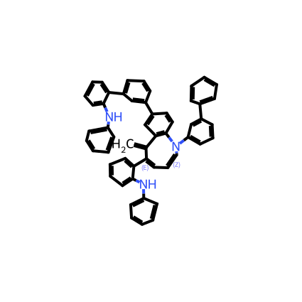 C=C1/C(c2ccccc2Nc2ccccc2)=C\C=C/N(c2cccc(-c3ccccc3)c2)c2ccc(-c3cccc(-c4ccccc4Nc4ccccc4)c3)cc21